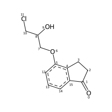 O=C1CCc2c(OCC(O)CCl)cccc21